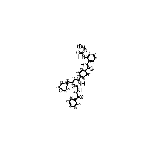 CC(C)(C)OC(=O)Nc1ccccc1NC(=O)c1ccc(C(CCCN2CCOCC2)NC(=O)NCC(=O)c2ccccc2)cn1